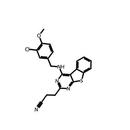 COc1ccc(CNc2nc(CCC#N)nc3sc4ccccc4c23)cc1Cl